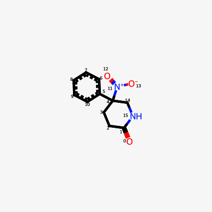 O=C1CCC(c2ccccc2)([N+](=O)[O-])CN1